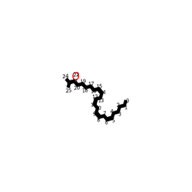 CCCCC/C=C\C/C=C\C/C=C\C/C=C\CCCCCC(=O)C(C)C